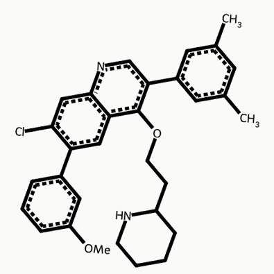 COc1cccc(-c2cc3c(OCCC4CCCCN4)c(-c4cc(C)cc(C)c4)cnc3cc2Cl)c1